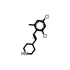 Cc1cc(Cl)cc(Cl)c1/C=C/C1CCNCC1